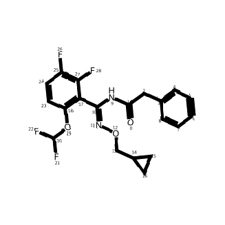 O=C(Cc1cc#ccc1)N/C(=N\OCC1CC1)c1c(OC(F)F)ccc(F)c1F